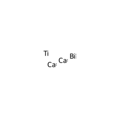 [Bi].[Ca].[Ca].[Ti]